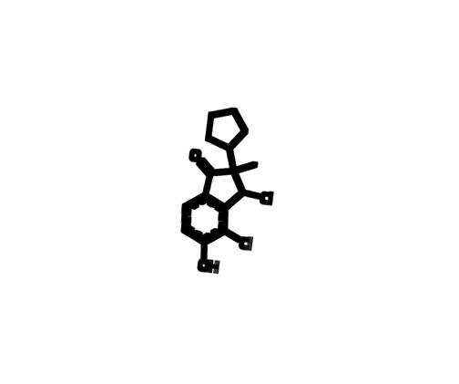 CC1(C2CCCC2)C(=O)c2ccc(O)c(Cl)c2C1Cl